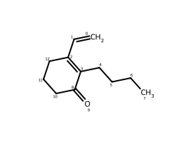 C=CC1=C(CCCC)C(=O)CCC1